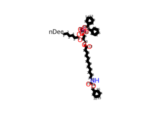 CCCCCCCCCCCCCCCC(=O)O[C@H](COC(=O)CCCCCCCCCCCNC(=O)OCc1ccccc1)COP(=O)(OCc1ccccc1)OCc1ccccc1